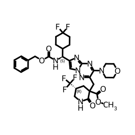 COC(=O)C1(Cc2nn3cc([C@@H](NC(=O)OCc4ccccc4)C4CCC(F)(F)CC4)nc3nc2N2CCOCC2)C[C@@H](C(F)(F)F)CNC1=O